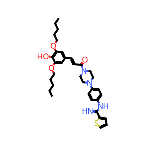 CCCCCOc1cc(/C=C/C(=O)N2CCN(c3ccc(NC(=N)c4cccs4)cc3)CC2)cc(OCCCCC)c1O